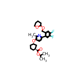 Cc1nc(-c2cc(F)c(F)cc2COC2CCCCO2)ccc1O[C@H]1CCC[C@H](C(=O)OC(C)C)C1